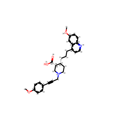 COc1ccc(C#CCN2CC[C@@H](CCCc3ccnc4ccc(OC)cc34)[C@@H](C(=O)O)C2)cc1